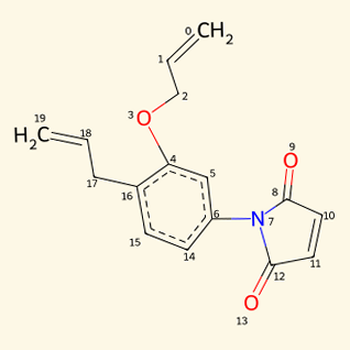 C=CCOc1cc(N2C(=O)C=CC2=O)ccc1CC=C